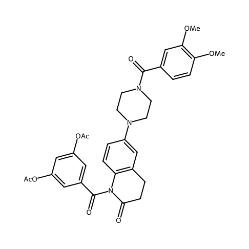 COc1ccc(C(=O)N2CCN(c3ccc4c(c3)CCC(=O)N4C(=O)c3cc(OC(C)=O)cc(OC(C)=O)c3)CC2)cc1OC